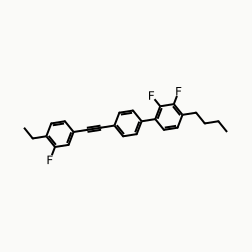 CCCCc1ccc(-c2ccc(C#Cc3ccc(CC)c(F)c3)cc2)c(F)c1F